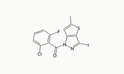 Cc1cc2c(s1)c(I)nn2C(=O)c1c(F)cccc1Cl